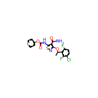 CC(Oc1nsc(NC(=O)Oc2ccccc2)c1C(N)=O)c1c(F)ccc(Cl)c1F